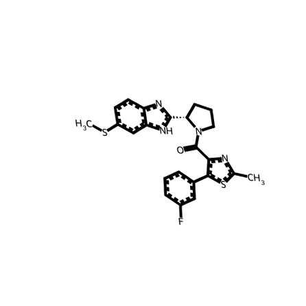 CSc1ccc2nc([C@@H]3CCCN3C(=O)c3nc(C)sc3-c3cccc(F)c3)[nH]c2c1